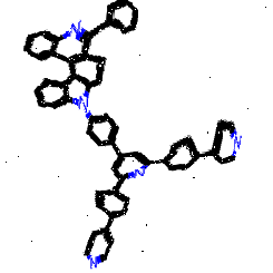 c1ccc(-c2nc3ccccc3c3c2ccc2c3c3ccccc3n2-c2ccc(-c3cc(-c4ccc(-c5ccncc5)cc4)nc(-c4ccc(-c5ccncc5)cc4)c3)cc2)cc1